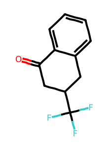 O=C1CC(C(F)(F)F)Cc2ccccc21